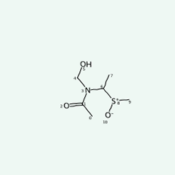 CC(=O)N(CO)C(C)[S+](C)[O-]